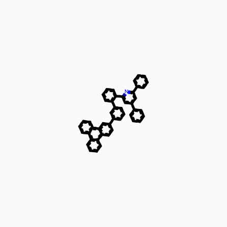 c1ccc(-c2cc(-c3ccccc3)nc(-c3ccccc3-c3cccc(-c4ccc5c6ccccc6c6ccccc6c5c4)c3)c2)cc1